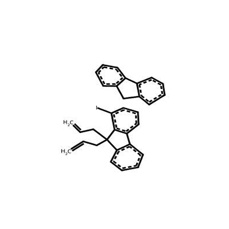 C=CCC1(CC=C)c2ccccc2-c2cccc(I)c21.c1ccc2c(c1)Cc1ccccc1-2